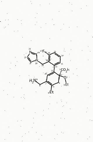 CCOC1(C(=O)O)CC(CC)=C(CN)C=C1c1cccc(F)c1Cn1ccnc1